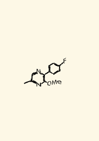 COc1nc(C)cnc1-c1ccc(F)cc1